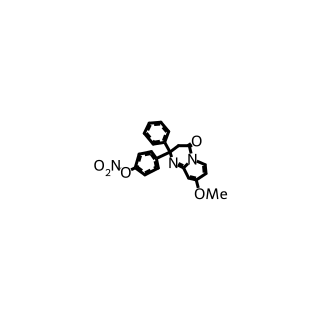 COC1=CC2=NC(c3ccccc3)(c3ccc(O[N+](=O)[O-])cc3)CC(=O)N2C=C1